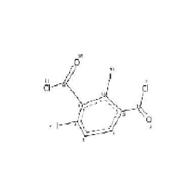 O=C(Cl)c1ccc(I)c(C(=O)Cl)c1I